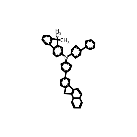 CC1(C)c2ccccc2-c2ccc(N(c3ccc(-c4ccccc4)cc3)c3ccc(-c4ccc5c(c4)C4=C(C5)C5C=CC=CC5C=C4)cc3)cc21